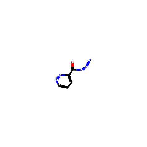 [N-]=[N+]=NC(=O)c1cccnn1